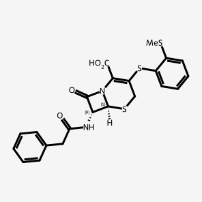 CSc1ccccc1SC1=C(C(=O)O)N2C(=O)[C@@H](NC(=O)Cc3ccccc3)[C@@H]2SC1